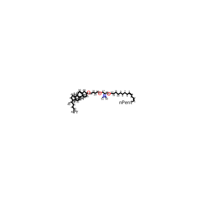 CCCCC/C=C\C/C=C\CCCCCCCCOC[C@H](COCCCCO[C@H]1CC[C@@]2(C)C(=CC[C@@H]3[C@@H]2CC[C@]2(C)C([C@H](C)CCCC(C)C)CC[C@@H]32)C1)N(C)C